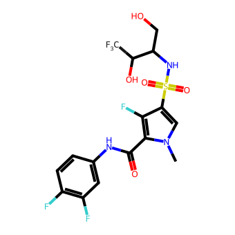 Cn1cc(S(=O)(=O)NC(CO)C(O)C(F)(F)F)c(F)c1C(=O)Nc1ccc(F)c(F)c1